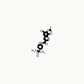 CC(C)(O)[C@H]1CC[C@H](NC(=O)c2cnc3c(Cl)c(OC(F)F)c(Cl)cc3c2)CC1